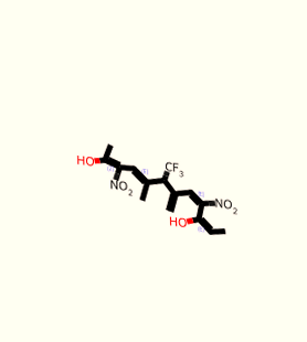 C=C(/C=C(\C(O)=C/C)[N+](=O)[O-])C(/C(C)=C/C(=C(\C)O)[N+](=O)[O-])C(F)(F)F